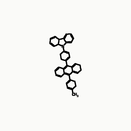 CC1=CC=C(c2c3c(c(C4=CC=C(N5c6ccccc6C6C=CC=CC65)CC4)c4ccccc24)=CCCC=3)CC1